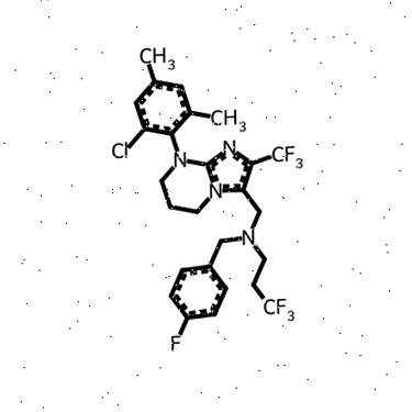 Cc1cc(C)c(N2CCCn3c2nc(C(F)(F)F)c3CN(CCC(F)(F)F)Cc2ccc(F)cc2)c(Cl)c1